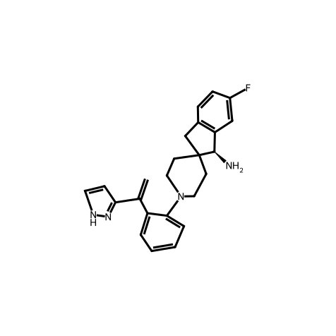 C=C(c1cc[nH]n1)c1ccccc1N1CCC2(CC1)Cc1ccc(F)cc1[C@H]2N